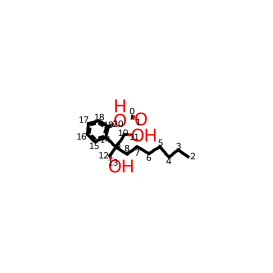 C=O.CCCCCCCC(CO)(CO)c1ccccc1O